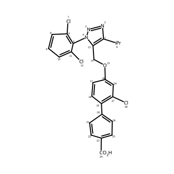 CC(C)c1nnn(-c2c(Cl)cccc2Cl)c1COc1ccc(-c2ccc(C(=O)O)cc2)c(Cl)c1